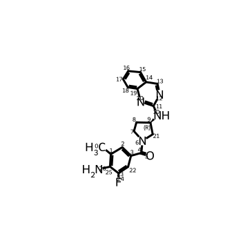 Cc1cc(C(=O)N2CC[C@@H](Nc3ncc4ccccc4n3)C2)cc(F)c1N